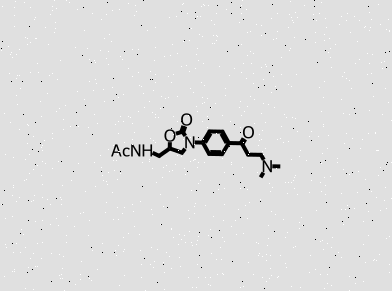 CC(=O)NCC1CN(c2ccc(C(=O)CCN(C)C)cc2)C(=O)O1